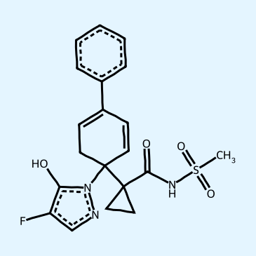 CS(=O)(=O)NC(=O)C1(C2(n3ncc(F)c3O)C=CC(c3ccccc3)=CC2)CC1